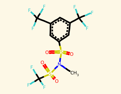 CN(S(=O)(=O)c1cc(C(F)(F)F)cc(C(F)(F)F)c1)S(=O)(=O)C(F)(F)F